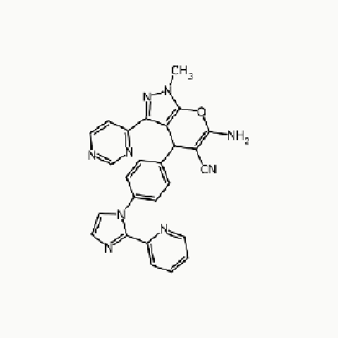 Cn1nc(-c2ccncn2)c2c1OC(N)=C(C#N)C2c1ccc(-n2ccnc2-c2ccccn2)cc1